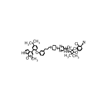 CC(C)c1ccc(Oc2cccc(CCCN3CCN(c4ncc(C(=O)NC5C(C)(C)C(Oc6ccc(C#N)c(Cl)c6)C5(C)C)cn4)CC3)c2)c(-c2cn(C)c(=O)c3[nH]ccc23)c1